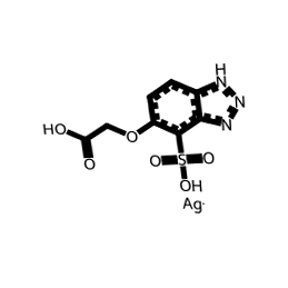 O=C(O)COc1ccc2[nH]nnc2c1S(=O)(=O)O.[Ag]